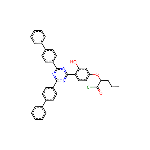 CCCC(Oc1ccc(-c2nc(-c3ccc(-c4ccccc4)cc3)nc(-c3ccc(-c4ccccc4)cc3)n2)c(O)c1)C(=O)Cl